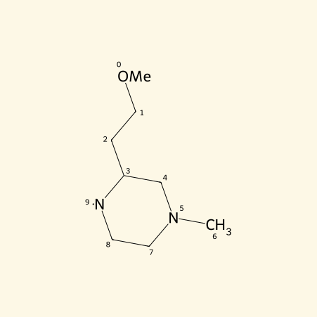 COCCC1CN(C)CC[N]1